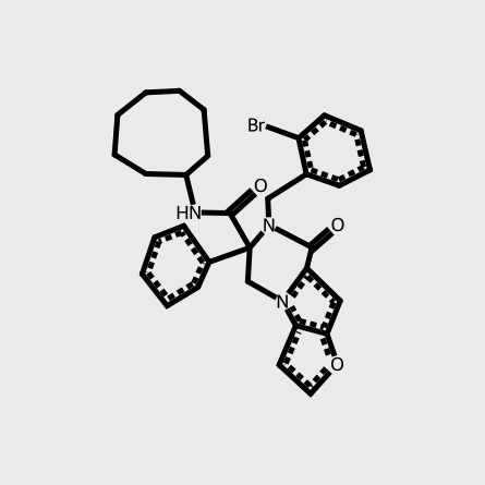 O=C1c2cc3occc3n2CC(C(=O)NC2CCCCCCC2)(c2ccccc2)N1Cc1ccccc1Br